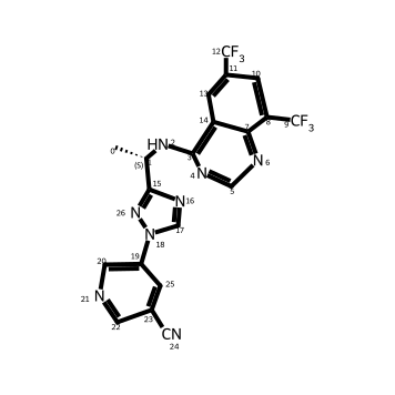 C[C@H](Nc1ncnc2c(C(F)(F)F)cc(C(F)(F)F)cc12)c1ncn(-c2cncc(C#N)c2)n1